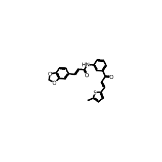 Cc1ccc(/C=C/C(=O)c2cccc(NC(=O)/C=C/c3ccc4c(c3)OCO4)c2)s1